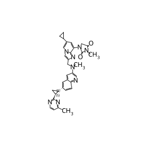 Cc1ccnc([C@H]2C[C@@H]2c2ccc3ncc(N(C)Cc4cn5cc(C6CC6)cc(N6CC(=O)N(C)C6=O)c5n4)cc3c2)n1